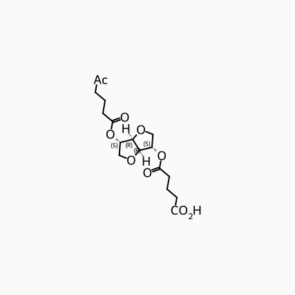 CC(=O)CCCC(=O)O[C@H]1CO[C@H]2[C@@H]1OC[C@@H]2OC(=O)CCCC(=O)O